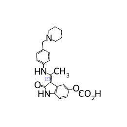 C/C(Nc1ccc(CN2CCCCC2)cc1)=C1/C(=O)Nc2ccc(OC(=O)O)cc21